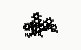 CC(C)C[C@H](O)C(O)[C@H](CC1CCCCC1)N(C(=O)[C@H](Cc1ccccc1)NS(=O)(=O)N1CCOCC1)[C@H](Cc1csc(N)n1)C(N)=O